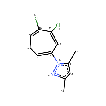 Cc1cc(C)n(C2=CCC=C(Cl)C(Cl)=C2)n1